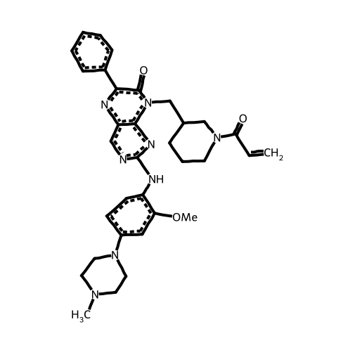 C=CC(=O)N1CCCC(Cn2c(=O)c(-c3ccccc3)nc3cnc(Nc4ccc(N5CCN(C)CC5)cc4OC)nc32)C1